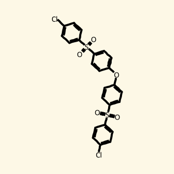 O=S(=O)(c1ccc(Cl)cc1)c1ccc(Oc2ccc(S(=O)(=O)c3ccc(Cl)cc3)cc2)cc1